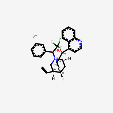 C=C[C@H]1C[N+]2(C(c3ccccc3)C(F)(F)F)CC[C@H]1C[C@@H]2[C@@H](O)c1ccnc2ccccc12.[Br-]